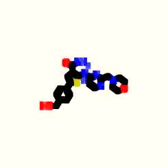 NC(=O)c1cc(-c2ccc(CO)cc2)sc1Nc1ccnc(CN2CCOCC2)n1